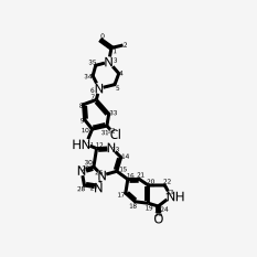 C=C(C)N1CCN(c2ccc(Nc3ncc(-c4ccc5c(c4)CNC5=O)n4ncnc34)c(Cl)c2)CC1